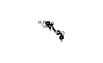 Nc1ccc2c(=O)n(CCCCN3CCC(C(=O)c4ccc(F)cc4)CC3)c(=S)[nH]c2c1